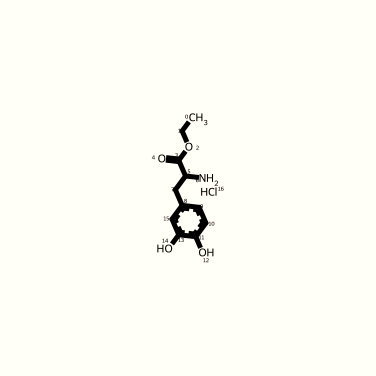 CCOC(=O)C(N)Cc1ccc(O)c(O)c1.Cl